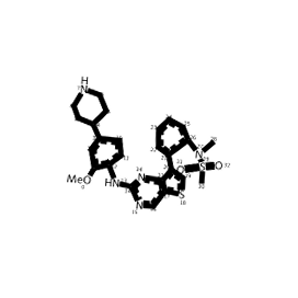 COc1cc(C2CCNCC2)ccc1Nc1ncc2scc(-c3ccccc3N(C)S(C)(=O)=O)c2n1